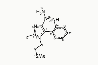 CSCCn1c(C)nc2c1-c1ccccc1NN2N